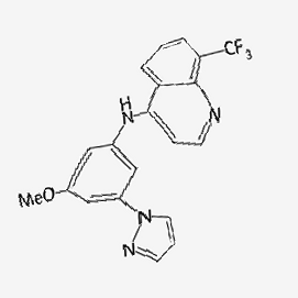 COc1cc(Nc2ccnc3c(C(F)(F)F)cccc23)cc(-n2cccn2)c1